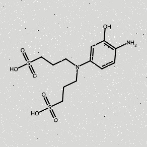 Nc1ccc(N(CCCS(=O)(=O)O)CCCS(=O)(=O)O)cc1O